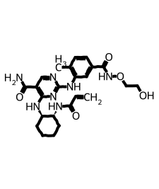 C=CC(=O)N[C@@H]1CCCC[C@H]1Nc1nc(Nc2cc(C(=O)NOCCO)ccc2C)ncc1C(N)=O